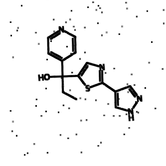 CCC(O)(c1ccncc1)c1cnc(-c2cn[nH]c2)s1